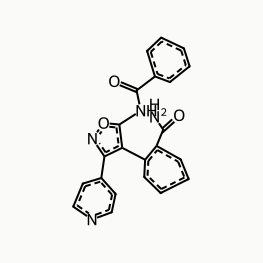 NC(=O)c1ccccc1-c1c(-c2ccncc2)noc1NC(=O)c1ccccc1